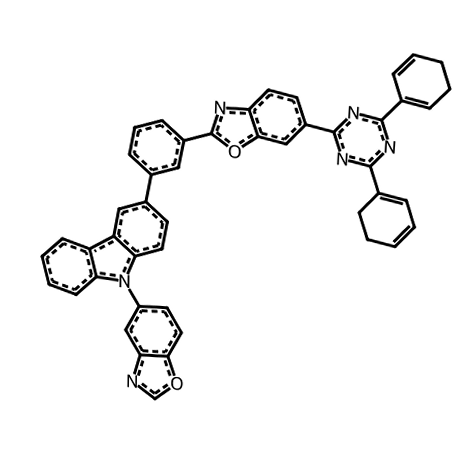 C1=CCCC(c2nc(C3=CCCC=C3)nc(-c3ccc4nc(-c5cccc(-c6ccc7c(c6)c6ccccc6n7-c6ccc7ocnc7c6)c5)oc4c3)n2)=C1